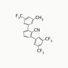 Cc1cc(-c2cccc(-c3cc(C(F)(F)F)cc(C(F)(F)F)c3)c2C#N)cc(C(F)(F)F)c1